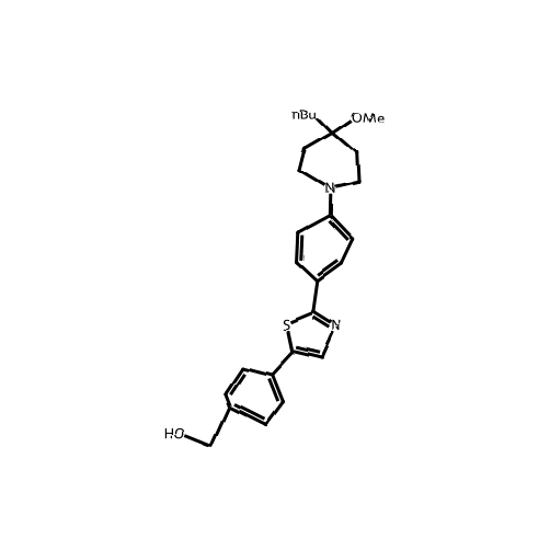 CCCCC1(OC)CCN(c2ccc(-c3ncc(-c4ccc(CO)cc4)s3)cc2)CC1